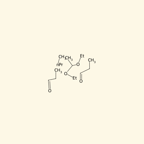 CCC=O.CCC=O.CCCC.CCOC(C)OCC